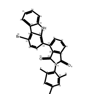 Cc1cc(C)c(N2C(=O)c3cccc(-c4ccc(Br)c5c4[nH]c4ccccc45)c3C2=O)c(C)c1